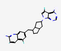 Nc1nc2cc(CC3CCC4CC(n5cc(F)c6c(N)ncnc65)CC34)cc(F)c2cc1F